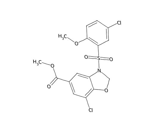 COC(=O)c1cc(Cl)c2c(c1)N(S(=O)(=O)c1cc(Cl)ccc1OC)CO2